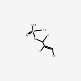 O=P(O)(O)OC(Cl)C(Cl)=CCl